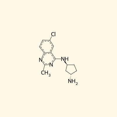 Cc1nc(N[C@H]2CC[C@H](N)C2)c2cc(Cl)ccc2n1